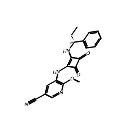 CC[C@@H](Nc1c(Nc2cc(C#N)cnc2OC)c(=O)c1=O)c1ccccc1